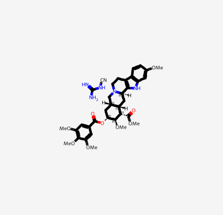 COC(=O)[C@H]1[C@H]2C[C@@H]3c4[nH]c5cc(OC)ccc5c4CCN3C[C@H]2C[C@@H](OC(=O)c2cc(OC)c(OC)c(OC)c2)[C@@H]1OC.N#CNC(=N)N